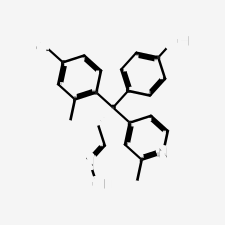 Cc1cc([C@](CC=NO)(c2ccc(O)cc2)c2ccc(Cl)cc2C)ccn1